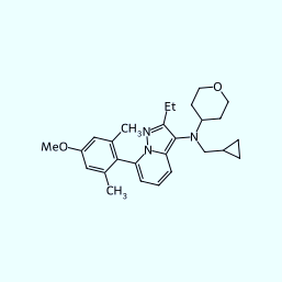 CCc1nn2c(-c3c(C)cc(OC)cc3C)cccc2c1N(CC1CC1)C1CCOCC1